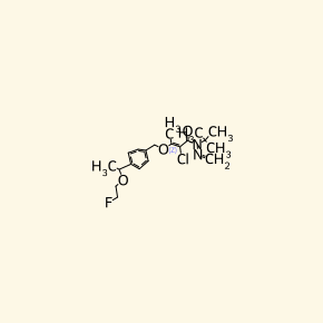 C=NN(C(=O)/C(Cl)=C(\C)OCc1ccc(C(C)OCCF)cc1)C(C)(C)C